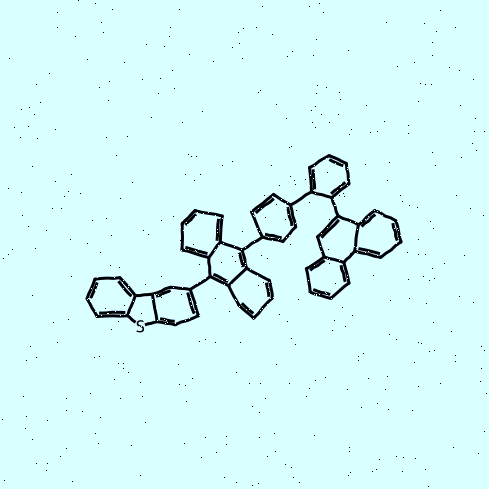 c1ccc(-c2cc3ccccc3c3ccccc23)c(-c2ccc(-c3c4ccccc4c(-c4ccc5sc6ccccc6c5c4)c4ccccc34)cc2)c1